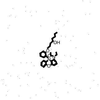 CCCCC(O)CCCOc1ccccc1C(=O)N1c2ccccc2Oc2cccc(N(CC)CC)c21